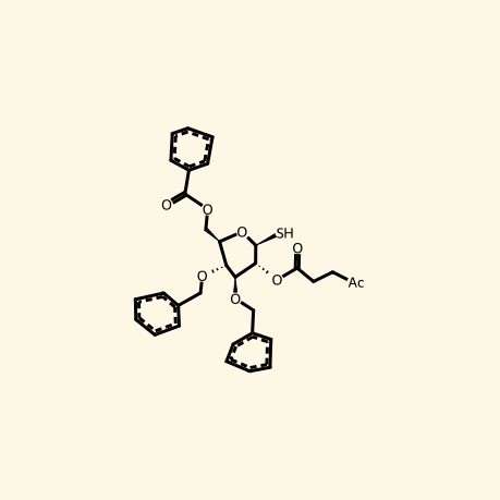 CC(=O)CCC(=O)O[C@@H]1[C@@H](OCc2ccccc2)[C@H](OCc2ccccc2)[C@@H](COC(=O)c2ccccc2)O[C@H]1S